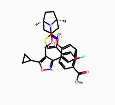 COC(=O)c1ccc(-c2csc(N3[C@@H]4CC[C@H]3CC(OCc3c(-c5ccccc5OC(F)(F)F)noc3C3CC3)C4)n2)cc1F